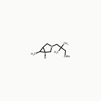 COCC(C)(C)CN1CC2C(C)[C@H]2C1